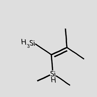 CC(C)=C([SiH3])[SiH](C)C